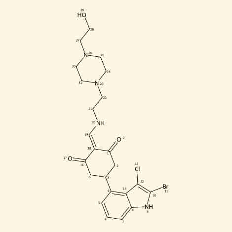 O=C1CC(c2cccc3[nH]c(Br)c(Cl)c23)CC(=O)C1=CNCCN1CCN(CCO)CC1